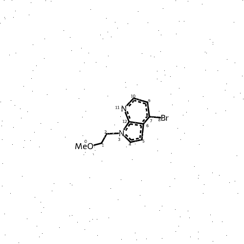 COCCn1ccc2c(Br)ccnc21